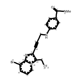 CNC(=O)c1ccc(NCC#Cc2nc3c(Br)cccn3c2CC(F)(F)F)cc1